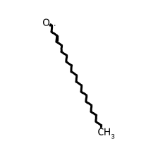 CCCCCCCCCCCCCCCCCC/C=C/C[C]=O